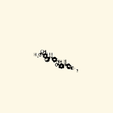 CN(C)c1ccc2c(Nc3ccc(NC(=O)c4cccc(Nc5cc[n+](C)cc5)c4)cc3)ccnc2c1